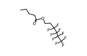 CCCCC(=O)OCCC(F)(F)C(F)(F)C(F)(F)C(F)(F)F